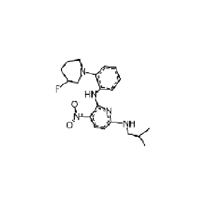 CC(C)CNc1ccc([N+](=O)[O-])c(Nc2ccccc2N2CCCC(F)C2)n1